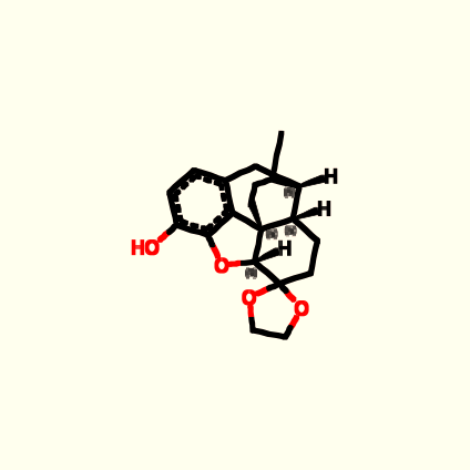 CC1CC[C@]23c4c5ccc(O)c4O[C@H]2C2(CC[C@H]3[C@H]1C5)OCCO2